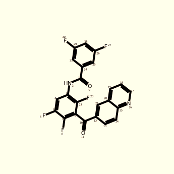 O=C(Nc1cc(F)c(F)c(C(=O)c2ccc3ncccc3c2)c1F)c1cc(F)cc(F)c1